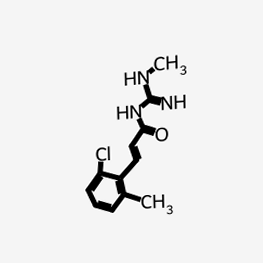 CNC(=N)NC(=O)C=Cc1c(C)cccc1Cl